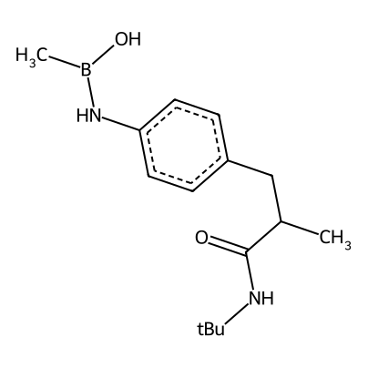 CB(O)Nc1ccc(CC(C)C(=O)NC(C)(C)C)cc1